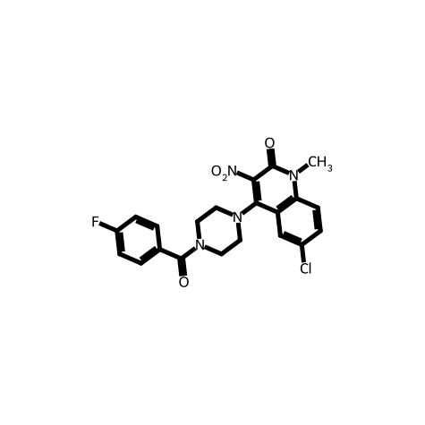 Cn1c(=O)c([N+](=O)[O-])c(N2CCN(C(=O)c3ccc(F)cc3)CC2)c2cc(Cl)ccc21